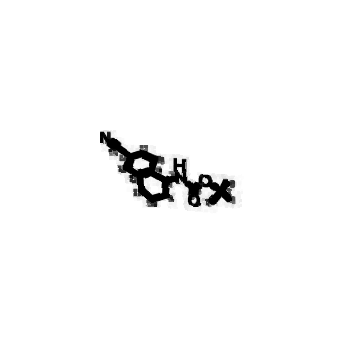 CC(C)(C)OC(=O)NC1CCCc2cc(C#N)ccc21